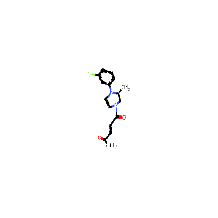 CC(=O)CCC(=O)N1CCN(c2cccc(F)c2)[C@@H](C)C1